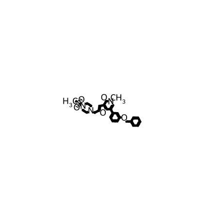 Cn1cc(-c2cccc(OCc3ccccc3)c2)c2oc(CN3CCN(S(C)(=O)=O)CC3)cc2c1=O